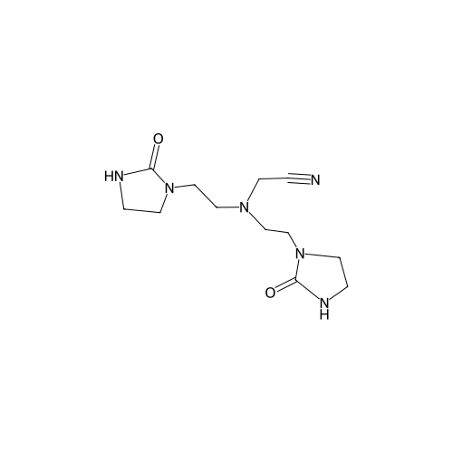 N#CCN(CCN1CCNC1=O)CCN1CCNC1=O